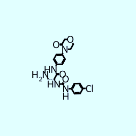 NC[C@@H](NC(=O)Nc1ccc(Cl)cc1)C(=O)Nc1ccc(N2CCOCC2=O)cc1